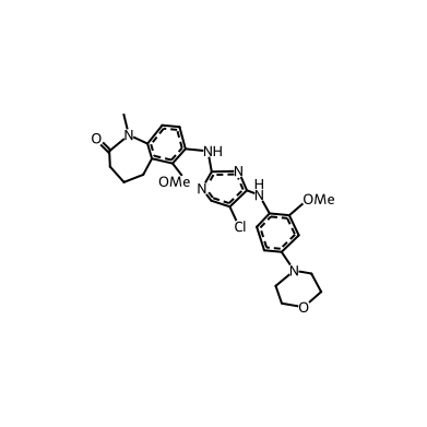 COc1cc(N2CCOCC2)ccc1Nc1nc(Nc2ccc3c(c2OC)CCCC(=O)N3C)ncc1Cl